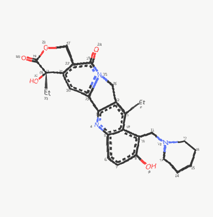 CCc1c2c(nc3ccc(O)c(CN4CCCCC4)c13)-c1cc3c(c(=O)n1C2)COC(=O)[C@]3(O)CC